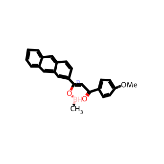 CBO/C(=C\C(=O)c1ccc(OC)cc1)c1ccc2cc3ccccc3cc2c1